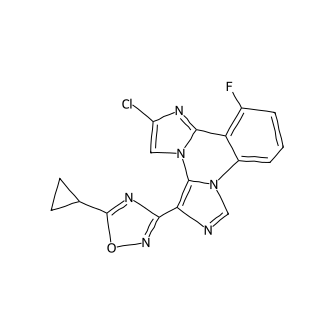 Fc1cccc2c1c1nc(Cl)cn1c1c(-c3noc(C4CC4)n3)ncn21